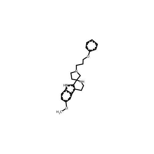 COc1ccc2[nH]c3c(c2c1)CCNC31CCN(CCCOc2ccccc2)C1